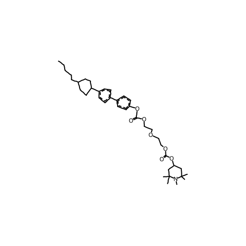 CCCCCC1CCC(c2ccc(-c3ccc(OC(=O)OCCOCCOC(=O)OC4CC(C)(C)N(C)C(C)(C)C4)cc3)cc2)CC1